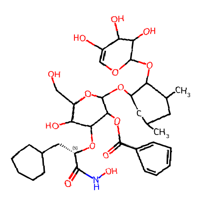 CC1CC(C)C(OC2OC=C(O)C(O)C2O)C(OC2OC(CO)C(O)C(O[C@@H](CC3CCCCC3)C(=O)NO)C2OC(=O)c2ccccc2)C1